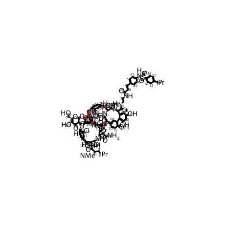 CN[C@H](CC(C)C)C(=O)N[C@H]1C(=O)N[C@@H](CC(N)=O)C(=O)NC2C(=O)N[C@H]3C(=O)N[C@H](C(=O)NC(C(=O)NCCNC(=O)/C=C/c4ccc(NS(=O)(=O)c5ccc(C(C)C)cc5)cc4)c4cc(O)cc(O)c4-c4cc3ccc4O)[C@H](O)c3ccc(c(Cl)c3)Oc3cc2cc(c3O[C@@H]2O[C@H](CO)[C@@H](O)[C@H](O)[C@H]2OC2C[C@](C)(N)[C@H](O)[C@H](C)O2)Oc2ccc(cc2Cl)[C@H]1O